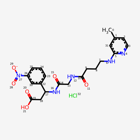 Cc1ccnc(NCCCC(=O)NCC(=O)NC(CC(=O)O)c2cccc([N+](=O)[O-])c2)c1.Cl